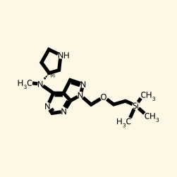 CN(c1ncnc2c1cnn2COCC[Si](C)(C)C)[C@@H]1CCNC1